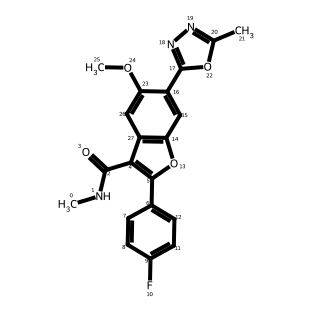 CNC(=O)c1c(-c2ccc(F)cc2)oc2cc(-c3nnc(C)o3)c(OC)cc12